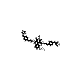 CC1=C(C(=O)OC/C=C/c2ccc(Cn3cncn3)cc2)C(c2cccc([N+](=O)[O-])c2)C(C(=O)OC/C=C/c2ccc(Cn3cncn3)cc2)=C(C)N1